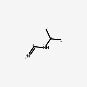 CC(C)NC=[N]